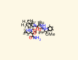 CO[C@H](c1ccccc1)[C@@H](NC(=O)N[C@H](C(=O)N1C[C@H]2[C@@H]([C@H]1C(=O)NC(CC1CC1)C(=O)C(N)=O)C2(C)C)C(C)(C)C)C(C)C